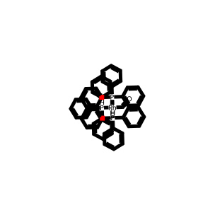 O=[CH][RhH]([PH](c1ccccc1)(c1ccccc1)c1ccccc1)([PH](c1ccccc1)(c1ccccc1)c1ccccc1)[PH](c1ccccc1)(c1ccccc1)c1ccccc1